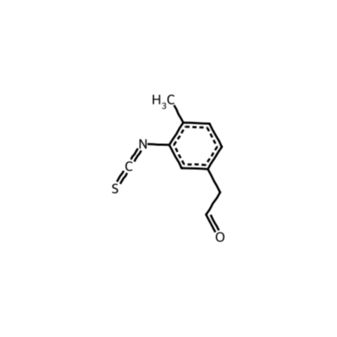 Cc1ccc(CC=O)cc1N=C=S